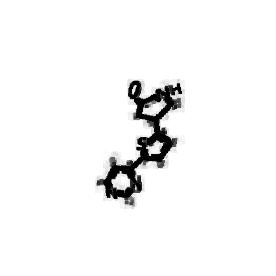 O=C1CC(c2ccc(-c3ccncn3)s2)CN1